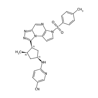 Cc1ccc(S(=O)(=O)n2ccc3c2ncc2nnc([C@H]4C[C@@H](Nc5ccc(C#N)cn5)C[C@H]4C)n23)cc1